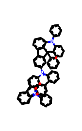 c1ccc(-c2ccccc2N(c2ccc3c(c2)C2(c4ccccc4)c4ccccc4N(c4ccccc4)c4cccc-3c42)c2ccc3c4ccccc4n(-c4ccccc4)c3c2)cc1